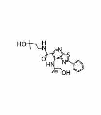 C[C@H](CO)Nc1c(C(=O)NCCC(C)(C)O)cnc2sc(-c3ccccc3)nc12